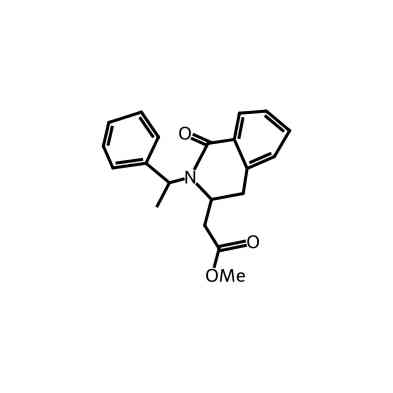 COC(=O)CC1Cc2ccccc2C(=O)N1C(C)c1ccccc1